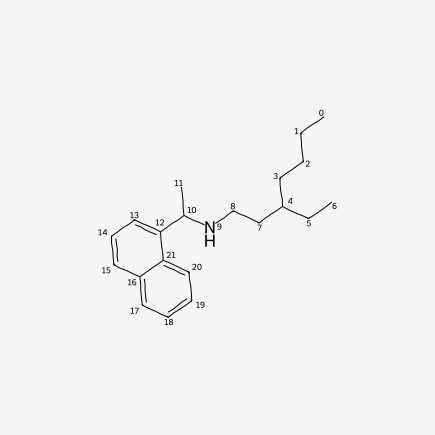 CCCCC(CC)CCNC(C)c1cccc2ccccc12